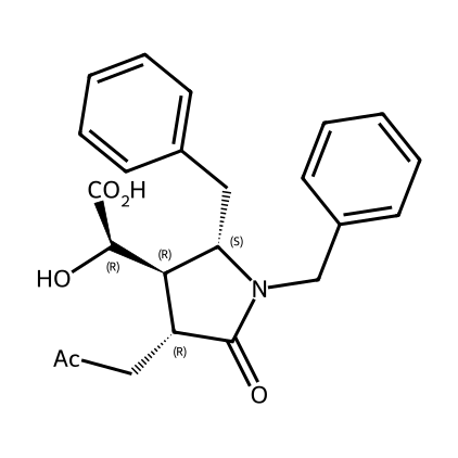 CC(=O)C[C@H]1C(=O)N(Cc2ccccc2)[C@@H](Cc2ccccc2)[C@@H]1[C@@H](O)C(=O)O